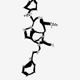 COC(=O)C1c2c(cnn2C(=O)Nc2ccccc2)C2CN1C(=O)N2OCc1ccccc1